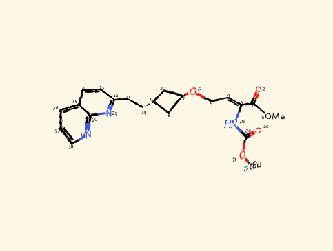 COC(=O)C(=CCO[C@H]1C[C@H](CCc2ccc3cccnc3n2)C1)NC(=O)OC(C)(C)C